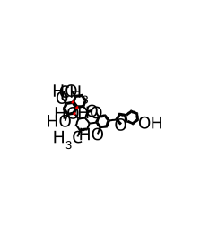 COc1ccc(C2CC(C)=CC(c3c(O)cc(-c4cc5ccc(O)cc5o4)cc3O)C2C(=O)c2ccc(O)cc2O)c(O)c1